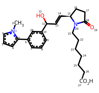 Cn1cccc1-c1cccc(C(O)C=C[C@H]2CCC(=O)N2CCCCCCC(=O)O)c1